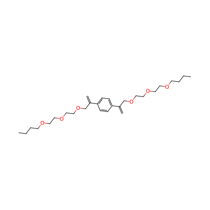 C=C(COCCOCCOCCCC)c1ccc(C(=C)COCCOCCOCCCC)cc1